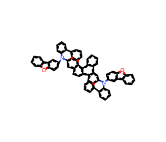 c1ccc(-c2ccccc2N(c2ccc3c(ccc4c5ccc(N(c6ccc7oc8ccccc8c7c6)c6ccccc6-c6ccccc6)cc5c5ccccc5c34)c2)c2ccc3oc4ccccc4c3c2)cc1